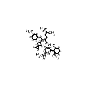 CNc1nc(OCC(CCC(C)C)C(CC2=CC(C)=CCC2)C2CC3(CC3)C2)cc(C2=C(C)CCC=C2C)n1